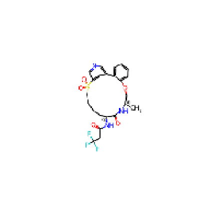 C[C@@H]1COc2ccccc2-c2cncc(c2)S(=O)(=O)CCCC[C@H](NC(=O)CC(F)(F)F)C(=O)N1